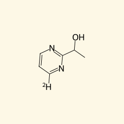 [2H]c1ccnc(C(C)O)n1